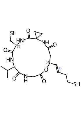 CC(C)C1NC(=O)[C@@H](CS)NC(=O)C2(CC2)NC(=O)C[C@@H](/C=C/CCS)OC(=O)CNC1=O